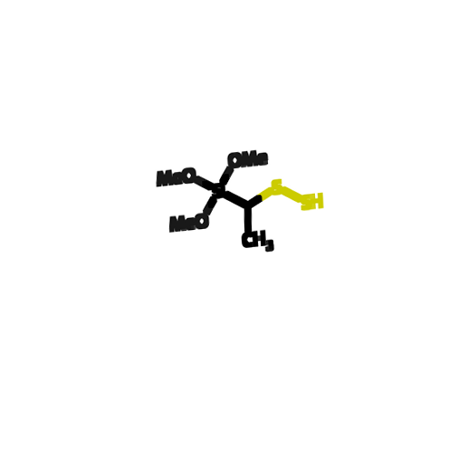 CO[Si](OC)(OC)C(C)SS